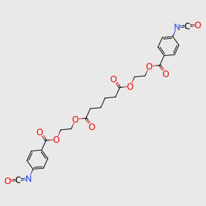 O=C=Nc1ccc(C(=O)OCCOC(=O)CCCCC(=O)OCCOC(=O)c2ccc(N=C=O)cc2)cc1